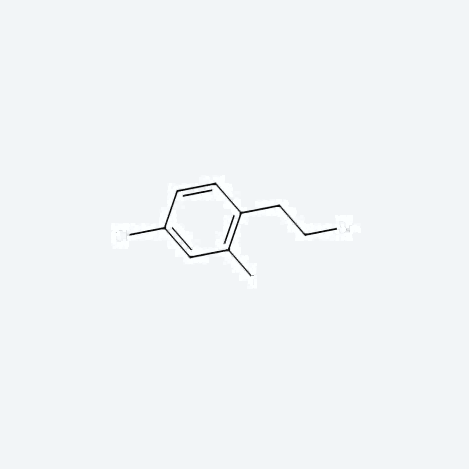 Clc1ccc(CCBr)c(I)c1